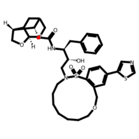 O=C(N[C@@H](Cc1ccccc1)[C@H](O)CN1CCCCCCCOCc2cc(-c3cncs3)ccc2S1(=O)=O)O[C@H]1C2CO[C@H]3OC[C@@H]1C3C2